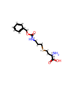 N[C@H](CCSCCCNC(=O)OCc1ccccc1)C(=O)O